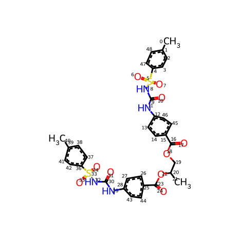 Cc1ccc(S(=O)(=O)NC(=O)Nc2ccc(C(=O)OCC(C)OC(=O)c3ccc(NC(=O)NS(=O)(=O)c4ccc(C)cc4)cc3)cc2)cc1